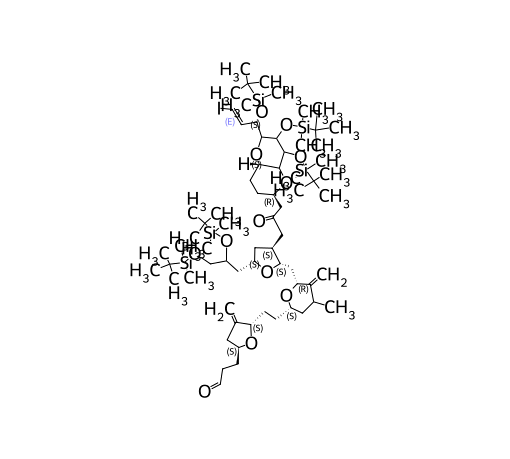 C=C1C[C@H](CCC=O)O[C@H]1CC[C@H]1CC(C)C(=C)[C@@H](C[C@@H]2O[C@H](CC(CO[Si](C)(C)C(C)(C)C)O[Si](C)(C)C(C)(C)C)C[C@H]2CC(=O)C[C@H]2CC[C@@H]3OC([C@H](/C=C/I)O[Si](C)(C)C(C)(C)C)C(O[Si](C)(C)C(C)(C)C)C(O[Si](C)(C)C(C)(C)C)C3O2)O1